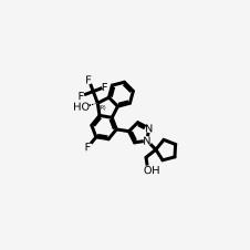 OCC1(n2cc(-c3cc(F)cc4c3-c3ccccc3[C@]4(O)C(F)(F)F)cn2)CCCC1